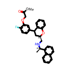 COC(=O)COc1cc(C2C[C@H](CN[C@H](C)c3cccc4ccccc34)Oc3ccccc32)ccc1F